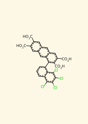 O=C(O)c1cc2cc3cc(C(=O)O)c(C(=O)O)c(-c4cccc5c(Cl)c(Cl)c(Cl)c(Cl)c45)c3cc2cc1C(=O)O